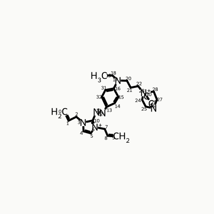 C=CCn1cc[n+](CC=C)c1/N=N/c1ccc(N(CC)CCC[N+]23CCN(CC2)CC3)cc1